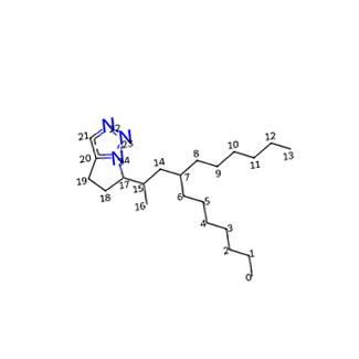 CCCCCCCC(CCCCCC)CC(C)C1CCc2cnnn21